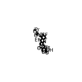 CCc1c2c(nc3cc(F)c(C)c(CNC(=O)COC(C)C)c13)-c1cc3c(c(=O)n1C2)COC(=O)[C@]3(O)CC